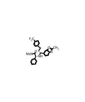 CNC(=O)[C@H](N[C@H](CCc1ccc(C(F)(F)F)cc1)c1ccc2nc(C)oc2c1)c1ccccc1